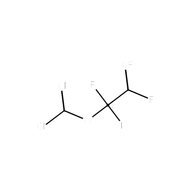 FC(C(F)(F)F)C(F)(F)OC(Cl)Cl